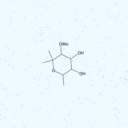 COC1C(O)C(O)C(C)OC1(C)C